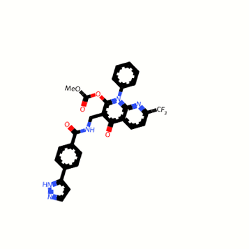 COC(=O)Oc1c(CNC(=O)c2ccc(-c3ccn[nH]3)cc2)c(=O)c2ccc(C(F)(F)F)nc2n1-c1ccccc1